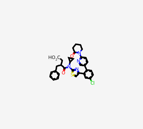 O=C(O)CC(Cc1ccccc1)C(=O)N(c1nc(-c2cc(Cl)ccc2-c2ccc(N3CCCCC3=O)nc2)cs1)C1CC1